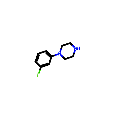 Fc1[c]ccc(N2CCNCC2)c1